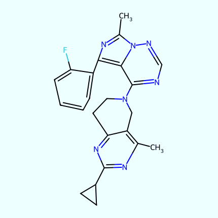 Cc1nc(C2CC2)nc2c1CN(c1ncnn3c(C)nc(-c4ccccc4F)c13)CC2